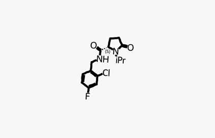 CC(C)N1C(=O)CC[C@H]1C(=O)NCc1ccc(F)cc1Cl